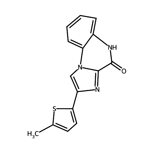 Cc1ccc(-c2cn3c(n2)c(=O)[nH]c2ccccc23)s1